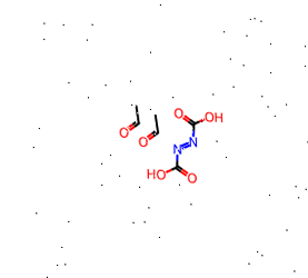 CC=O.CC=O.O=C(O)N=NC(=O)O